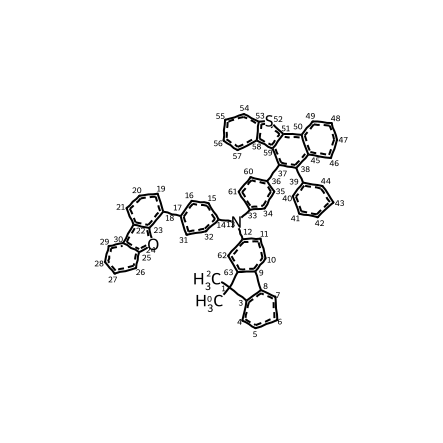 CC1(C)c2ccccc2-c2ccc(N(c3ccc(-c4cccc5c4oc4ccccc45)cc3)c3ccc(-c4c(-c5ccccc5)c5ccccc5c5sc6ccccc6c45)cc3)cc21